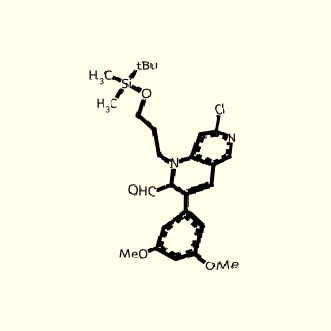 COc1cc(OC)cc(C2=Cc3cnc(Cl)cc3N(CCCO[Si](C)(C)C(C)(C)C)C2C=O)c1